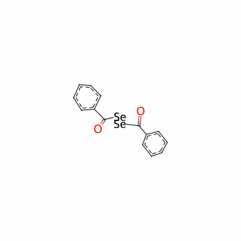 O=C([Se][Se]C(=O)c1ccccc1)c1ccccc1